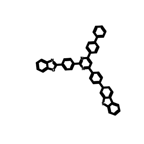 C1=c2sc3ccccc3c2=CCC1c1ccc(-c2cc(-c3ccc(-c4ccccc4)cc3)nc(-c3ccc(-c4nc5ccccc5o4)cc3)n2)cc1